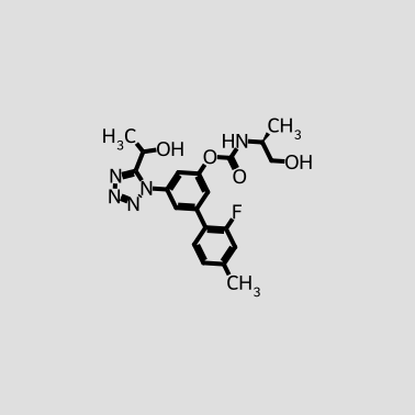 Cc1ccc(-c2cc(OC(=O)N[C@@H](C)CO)cc(-n3nnnc3C(C)O)c2)c(F)c1